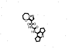 O=C(Nc1c2c(nc3c1CCC3)CCC2)NS(=O)(=O)c1cnn2c1OCCCC2